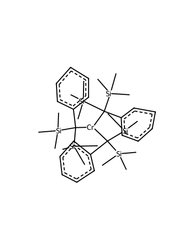 C[Si](C)(C)[C](c1ccccc1)([Cr]([C](c1ccccc1)([Si](C)(C)C)[Si](C)(C)C)[C](c1ccccc1)([Si](C)(C)C)[Si](C)(C)C)[Si](C)(C)C